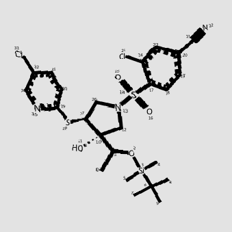 CC(O[Si](C)(C)C(C)(C)C)[C@]1(O)CN(S(=O)(=O)c2ccc(C#N)cc2Cl)C[C@@H]1Sc1ccc(Cl)cn1